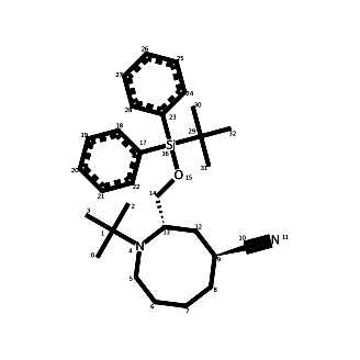 CC(C)(C)N1CCCC[C@H](C#N)C[C@H]1CO[Si](c1ccccc1)(c1ccccc1)C(C)(C)C